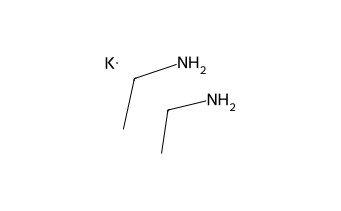 CCN.CCN.[K]